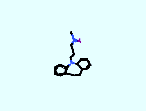 CN(I)CCCN1c2ccccc2CCC2C=CC=CC21